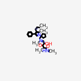 C=C/C=C\c1c(-c2ccccc2)cn(C2(CN(C)/C=C(/O)C(=O)C(=C)C(=O)NC)CCCC2)c1C